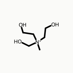 C[N+](CO)(CCO)CCO